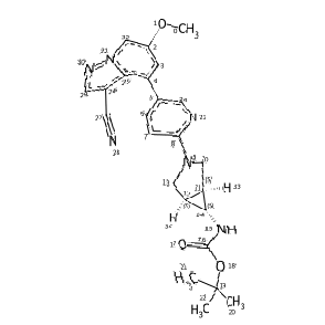 COc1cc(-c2ccc(N3C[C@@H]4[C@H](C3)[C@H]4NC(=O)OC(C)(C)C)nc2)c2c(C#N)cnn2c1